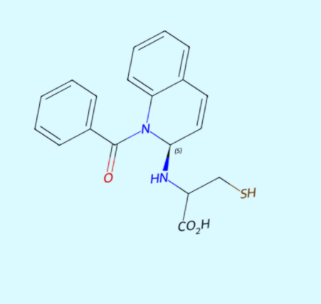 O=C(O)C(CS)N[C@@H]1C=Cc2ccccc2N1C(=O)c1ccccc1